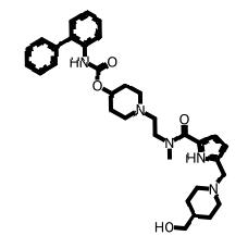 CN(CCN1CCC(OC(=O)Nc2ccccc2-c2ccccc2)CC1)C(=O)c1ccc(CN2CCC(CO)CC2)[nH]1